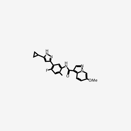 COc1ccc2c(C(=O)Nc3cc(-c4cc(C5CC5)[nH]n4)c(F)cc3C)cnn2c1